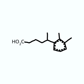 Cc1cccc(C(C)CCCC(=O)O)c1C